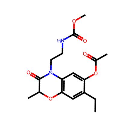 CCc1cc2c(cc1OC(C)=O)N(CCNC(=O)OC)C(=O)C(C)O2